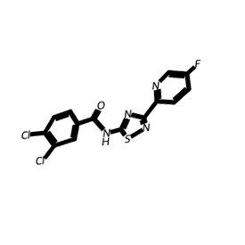 O=C(Nc1nc(-c2ccc(F)cn2)ns1)c1ccc(Cl)c(Cl)c1